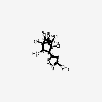 Cc1cc(C2C(C)[C@@]3(Cl)C(=O)[C@]2(Cl)C(Cl)=C3Cl)on1